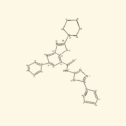 O=C(Nc1nnc(-c2ccccc2)o1)c1cc(-c2ccccc2)nc2nc(N3CCCCC3)sc12